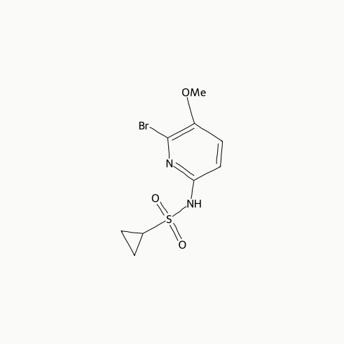 COc1ccc(NS(=O)(=O)C2CC2)nc1Br